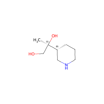 C[C@@](O)(CO)[C@@H]1CCCNC1